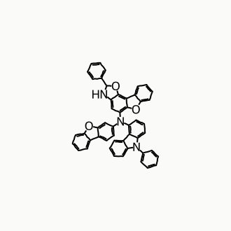 c1ccc(C2Nc3cc(N(c4ccc5c(c4)oc4ccccc45)c4cccc5c4c4ccccc4n5-c4ccccc4)c4oc5ccccc5c4c3O2)cc1